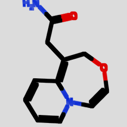 NC(=O)CC1=C2C=CC=CN2C=COC1